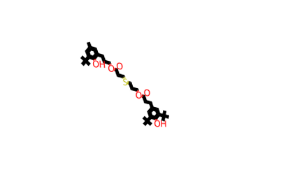 Cc1cc(CCCOC(=O)CCSCCCOC(=O)CCc2cc(C(C)(C)C)c(O)c(C(C)(C)C)c2)c(O)c(C(C)(C)C)c1